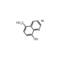 O=S(=O)(O)c1ccc(O)c2ncccc12.[Ni]